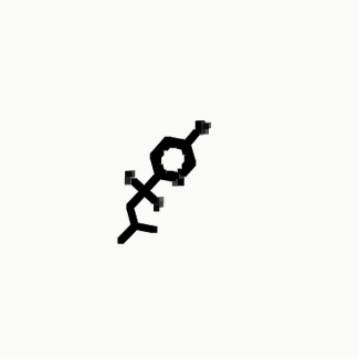 CC(C)CC(F)(F)c1ccc(Br)cn1